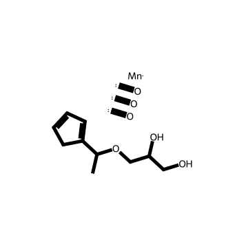 CC(OCC(O)CO)C1=CC=CC1.[C]=O.[C]=O.[C]=O.[Mn]